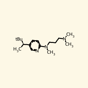 C[C@H](c1ccc(N(C)CCCN(C)C)nc1)C(C)(C)C